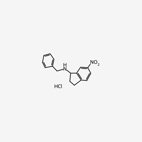 Cl.O=[N+]([O-])c1ccc2c(c1)C(NCc1ccccc1)CC2